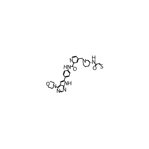 O=C(C=S)N[C@@H]1CCCN(Cc2ccnc(C(=O)Nc3ccc(-c4cc5c(N6CCOCC6)ncnc5[nH]4)cc3)c2)C1